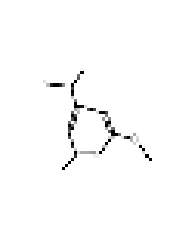 COc1cc(C)cc(C(C)C)c1